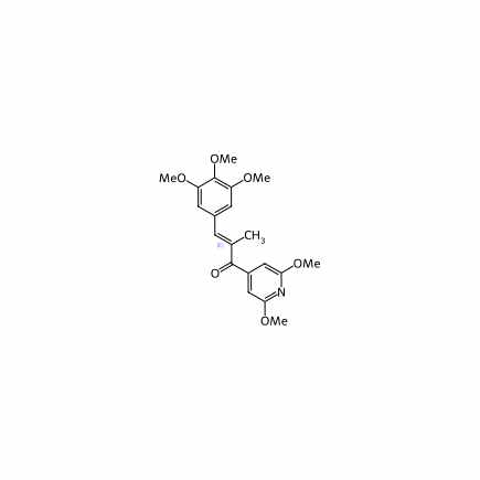 COc1cc(C(=O)/C(C)=C/c2cc(OC)c(OC)c(OC)c2)cc(OC)n1